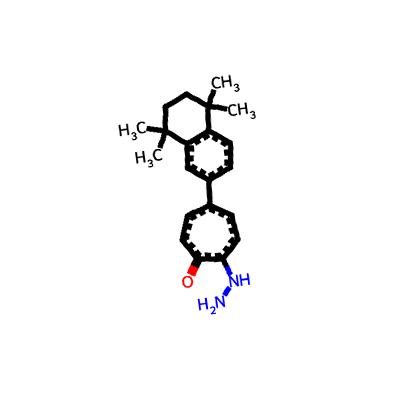 CC1(C)CCC(C)(C)c2cc(-c3ccc(NN)c(=O)cc3)ccc21